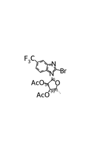 CC(=O)O[C@@H]1[C@H](OC(C)=O)[C@@H](C)O[C@H]1n1c(Br)nc2cc(C(F)(F)F)ccc21